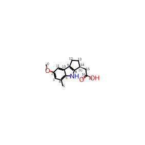 COc1cc(C)c2[nH]c3c(c2c1)CC[C@H]3CC(=O)O